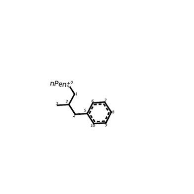 CCCCCCC(C)Cc1ccccc1